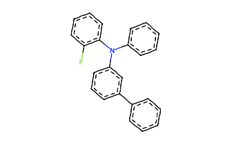 Fc1ccccc1N(c1ccccc1)c1cccc(-c2ccccc2)c1